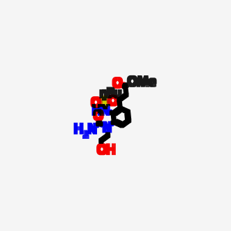 CCCCS(=O)(=O)Nc1c(CCC(=O)OC)cccc1N(CCO)C(N)=O